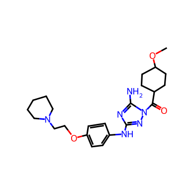 COC1CCC(C(=O)n2nc(Nc3ccc(OCCN4CCCCC4)cc3)nc2N)CC1